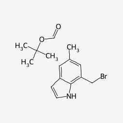 CC(C)(C)OC=O.Cc1cc(CBr)c2[nH]ccc2c1